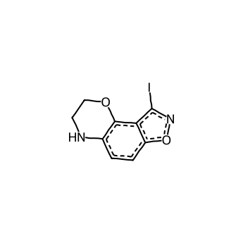 Ic1noc2ccc3c(c12)OCCN3